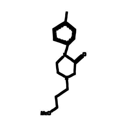 COCCCN1CCN(c2ccc(C)cc2)C(=O)C1